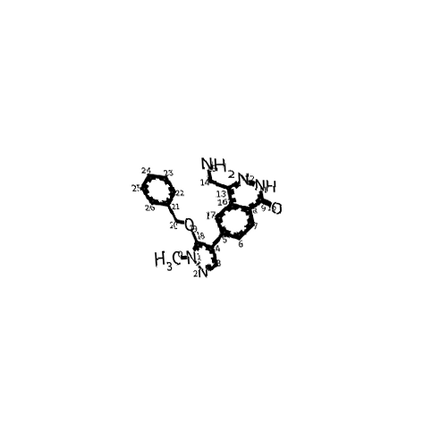 Cn1ncc(-c2ccc3c(=O)[nH]nc(CN)c3c2)c1OCc1ccccc1